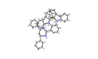 c1ccc(-c2cc(-c3ccccc3)nc(-c3cccc(-n4c5ccccc5c5ccccc54)c3-n3c4ccccc4c4ccccc43)n2)cc1